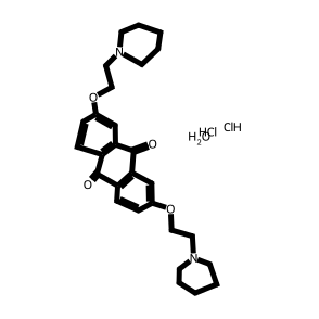 Cl.Cl.O.O=C1c2ccc(OCCN3CCCCC3)cc2C(=O)c2cc(OCCN3CCCCC3)ccc21